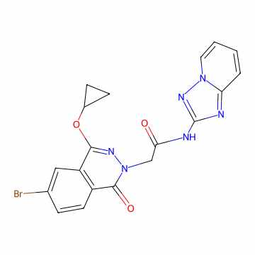 O=C(Cn1nc(OC2CC2)c2cc(Br)ccc2c1=O)Nc1nc2ccccn2n1